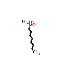 CCCCCCCC[NH+](C)[O-]